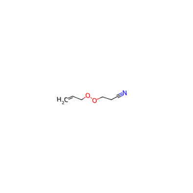 C=CCOOCCC#N